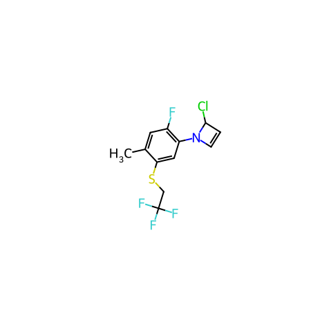 Cc1cc(F)c(N2C=CC2Cl)cc1SCC(F)(F)F